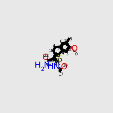 COc1cc2c(cc1C)CCc1c-2sc(NC(C)=O)c1C(N)=O